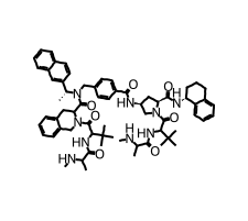 CNC(C)C(=O)NC(C(=O)N1Cc2ccccc2CC1C(=O)N(Cc1ccc(C(=O)N[C@H]2C[C@@H](C(=O)N[C@@H]3CCCc4ccccc43)N(C(=O)C(NC(=O)C(C)NC)C(C)(C)C)C2)cc1)[C@H](C)c1ccc2ccccc2c1)C(C)(C)C